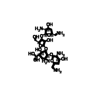 NCC1=C[C@@H](O)[C@@H](N)[C@@H](O[C@H]2[C@H](O[C@@H]3O[C@H](CO)[C@@H](O[C@H]4O[C@@H](CN)C[C@H](O)[C@H]4N)[C@H]3O)[C@@H](O)[C@H](N(O)O)C[C@@H]2N)O1